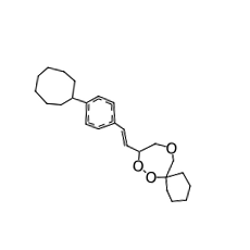 C(=CC1COCC2(CCCCC2)OO1)c1ccc(C2CCCCCCC2)cc1